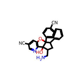 N#Cc1ccc(C23Oc4cc(C#N)cnc4C2(O)C(CN)CC3c2ccccc2)cc1